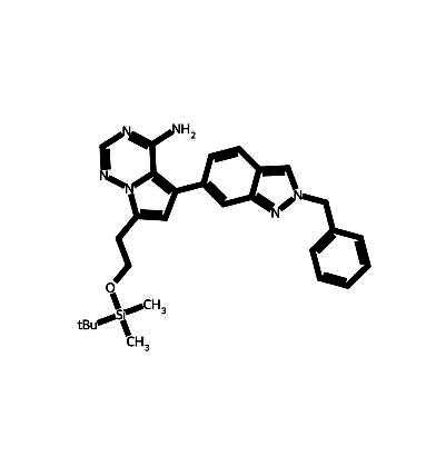 CC(C)(C)[Si](C)(C)OCCc1cc(-c2ccc3cn(Cc4ccccc4)nc3c2)c2c(N)ncnn12